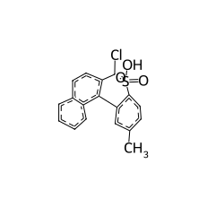 Cc1ccc(S(=O)(=O)O)c(-c2c(CCl)ccc3ccccc23)c1